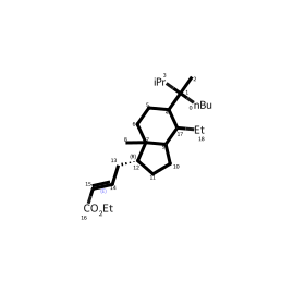 CCCCC(C)(C(C)C)C1CCC2(C)C(CC[C@@H]2C/C=C/C(=O)OCC)C1CC